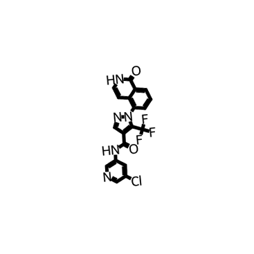 O=C(Nc1cncc(Cl)c1)c1cnn(-c2cccc3c(=O)[nH]ccc23)c1C(F)(F)F